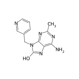 Cc1nc(N)c2nc(O)n(Cc3cccnc3)c2n1